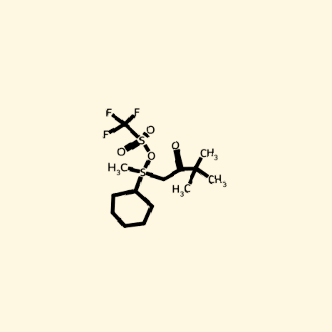 CC(C)(C)C(=O)CS(C)(OS(=O)(=O)C(F)(F)F)C1CCCCC1